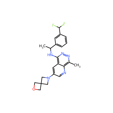 Cc1nnc(NC(C)c2cccc(C(F)F)c2)c2cc(N3CC4(COC4)C3)cnc12